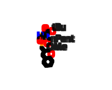 CCCCCC(NC(=O)OC(C)(C)C)O[PH](=O)CC(CC1CCCCC1)C(=O)OC